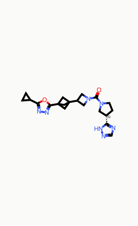 O=C(N1CC(C23CC(c4nnc(C5CC5)o4)(C2)C3)C1)N1CC[C@H](c2ncn[nH]2)C1